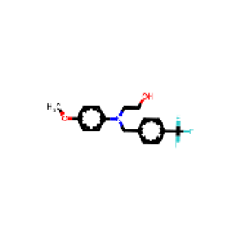 COc1ccc(N(CCO)Cc2ccc(C(F)(F)F)cc2)cc1